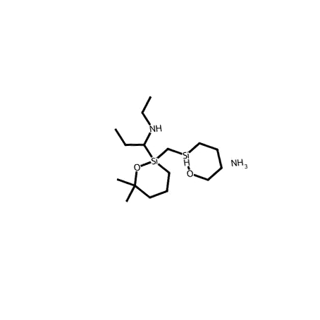 CCNC(CC)[Si]1(C[SiH]2CCCCO2)CCCC(C)(C)O1.N